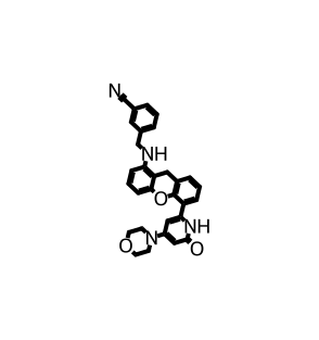 N#Cc1cccc(CNc2cccc3c2Cc2cccc(-c4cc(N5CCOCC5)cc(=O)[nH]4)c2O3)c1